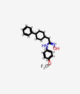 ON=C(CC1CCC(c2ccccc2)CC1)Nc1ccc(OC(F)(F)F)cc1